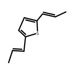 C/C=C/c1ccc(/C=C/C)s1